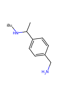 CCC(C)NC(C)c1ccc(CN)cc1